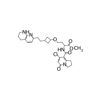 COC(=O)C(CCOC1CC(CCc2ccc3c(n2)NCCC3)C1)NC(=O)c1c(Cl)cc(=O)n2c1CCC2